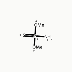 COP(N)(=S)OC